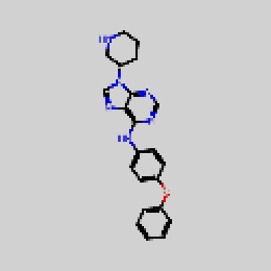 c1ccc(Oc2ccc(Nc3ncnc4c3ncn4[C@@H]3CCCNC3)cc2)cc1